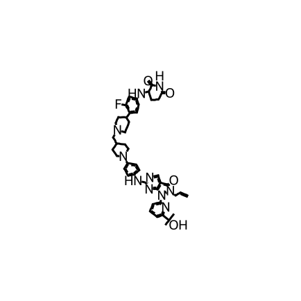 C=CCn1c(=O)c2cnc(Nc3ccc(N4CCC(CN5CCC(c6ccc(NC7CCC(=O)NC7=O)cc6F)CC5)CC4)cc3)nc2n1-c1cccc(C(C)(C)O)n1